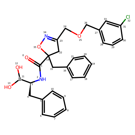 O=C(N[C@@H](Cc1ccccc1)B(O)O)C1(Cc2ccccc2)CC(COCc2cccc(Cl)c2)=NO1